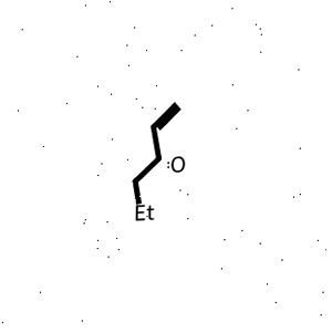 C=CCCCC.[O]